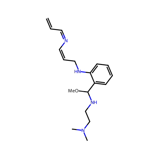 C=C/C=N\C=C/CNc1ccccc1C(NCCN(C)C)OC